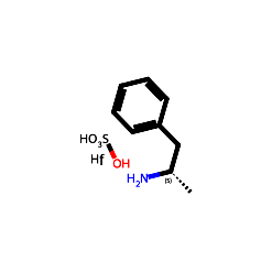 C[C@H](N)Cc1ccccc1.O=S(=O)(O)O.[Hf]